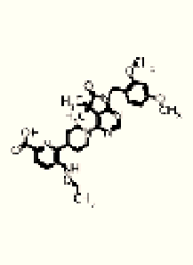 CCONc1ccc(C(=O)O)nc1C1CCN(c2ncnc3c2C(C)(C)C(=O)N3Cc2ccc(OC)cc2OC)CC1